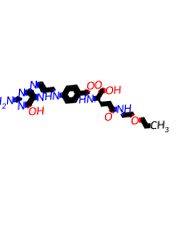 CCCOCCNC(=O)CC[C@@H](NC(=O)c1ccc(NCc2cnc3nc(N)nc(O)c3n2)cc1)C(=O)O